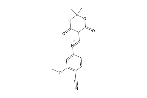 COc1cc(/N=C/C2C(=O)OC(C)(C)OC2=O)ccc1C#N